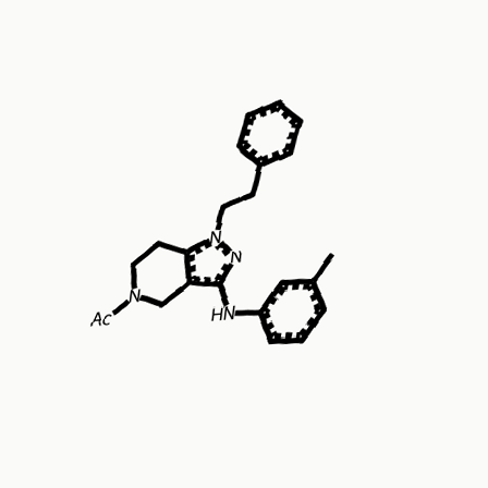 CC(=O)N1CCc2c(c(Nc3cccc(C)c3)nn2CCc2ccccc2)C1